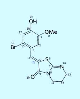 COc1cc(/C=c2\sc3n(c2=O)CCCN=3)c(Br)cc1O